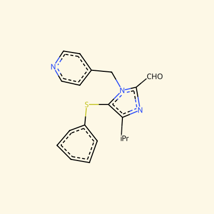 CC(C)c1nc(C=O)n(Cc2ccncc2)c1Sc1ccccc1